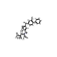 CC(c1ccc(-c2ccccc2)c(F)c1)c1cc(/N=C(\NC(=N)N(C)C)N(C)C)on1